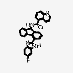 O=C(NC1c2ccccc2-c2c(-c3nc4ccc(F)cc4[nH]3)cccc21)c1cccc2ncccc12